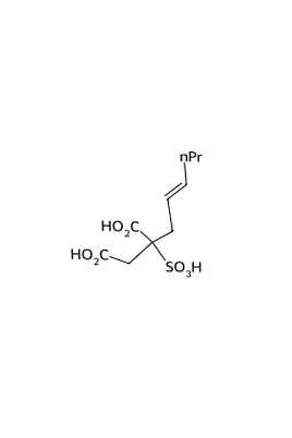 CCCC=CCC(CC(=O)O)(C(=O)O)S(=O)(=O)O